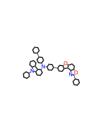 c1ccc(-c2ccc(N(c3ccc(-c4ccc5c(c4)oc4ccc6oc(-c7ccccc7)nc6c45)cc3)c3cccc4c3c3ccccc3n4-c3ccccc3)cc2)cc1